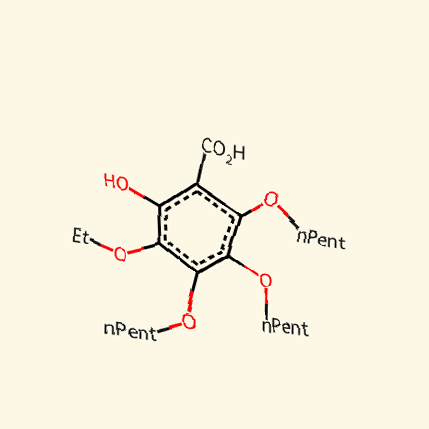 CCCCCOc1c(OCC)c(O)c(C(=O)O)c(OCCCCC)c1OCCCCC